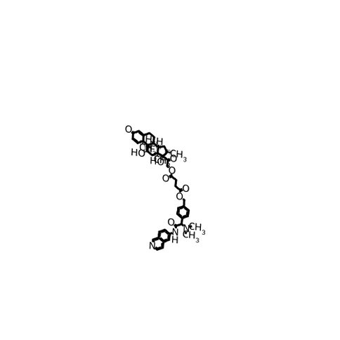 C[C@@H]1C[C@H]2[C@@H]3CCC4=CC(=O)C=C[C@]4(C)[C@@]3(F)[C@@H](O)C[C@]2(C)[C@@]1(O)C(=O)COC(=O)CCC(=O)OCc1ccc(C(C(=O)Nc2ccc3cnccc3c2)N(C)C)cc1